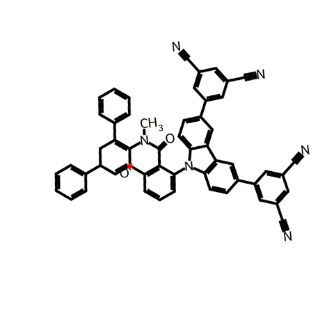 CN(C(=O)c1c(C=O)cccc1-n1c2ccc(-c3cc(C#N)cc(C#N)c3)cc2c2cc(-c3cc(C#N)cc(C#N)c3)ccc21)C1=C(c2ccccc2)CC(c2ccccc2)C=C1